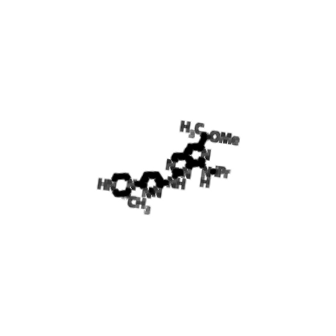 CO[C@H](C)c1cc2cnc(Nc3ccc(N4CCNC[C@H]4C)nn3)nc2c(NC(C)C)n1